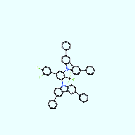 Fc1ccc(-c2cc(-n3c4ccc(-c5ccccc5)cc4c4cc(-c5ccccc5)ccc43)c(C(F)(F)F)c(-n3c4ccc(-c5ccccc5)cc4c4cc(-c5ccccc5)ccc43)c2)cc1F